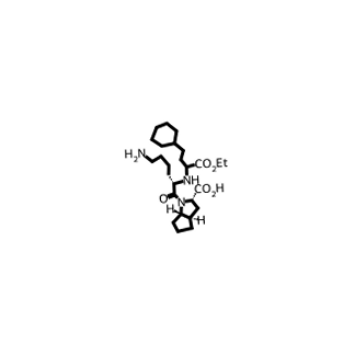 CCOC(=O)C(CCC1CCCCC1)N[C@@H](CCCCN)C(=O)N1[C@H](C(=O)O)C[C@H]2CCC[C@@H]21